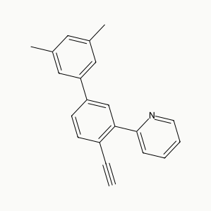 C#Cc1ccc(-c2cc(C)cc(C)c2)cc1-c1ccccn1